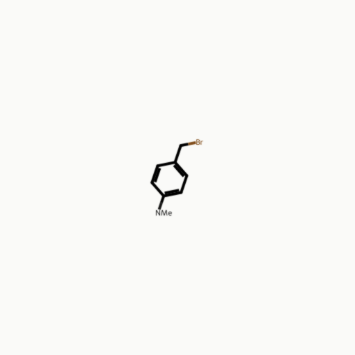 CNc1ccc(CBr)cc1